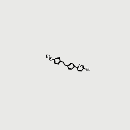 CCOc1ccc(CCc2ccc(-c3ccc(CC)cn3)cc2)cc1